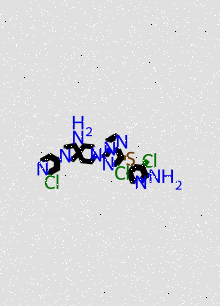 Nc1nccc(Sc2c(Cl)nc(N3CCC4(CC3)CN(c3ccnc(Cl)c3)C[C@H]4N)n3ccnc23)c1Cl